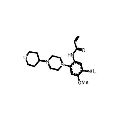 C=CC(=O)Nc1cc(N)c(OC)cc1N1CCN(C2CCOCC2)CC1